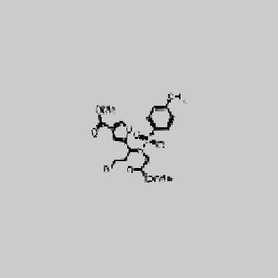 COC(=O)CN(C(CCBr)c1cc(C(=O)OC)co1)S(=O)(=O)c1ccc(C)cc1